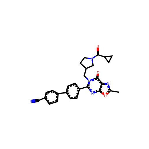 Cc1nc2c(=O)n(CC3CCN(C(=O)C4CC4)C3)c(-c3ccc(-c4ccc(C#N)cc4)cc3)nc2o1